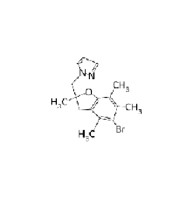 Cc1c(C)c2c(c(C)c1Br)CC(C)(Cn1cccn1)O2